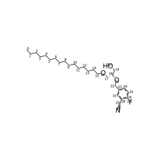 CCCCCCCCCCCCCCCCOC[C@H](CO)OCc1ccc(F)c(C#N)c1